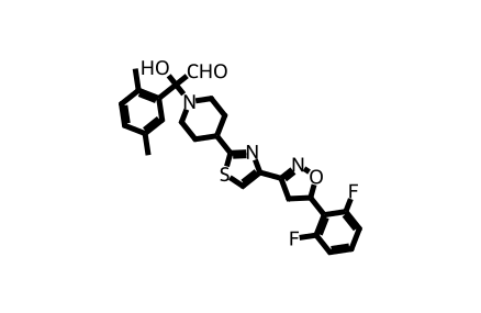 Cc1ccc(C)c(C(O)(C=O)N2CCC(c3nc(C4=NOC(c5c(F)cccc5F)C4)cs3)CC2)c1